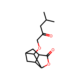 CC(C)CC(=O)COC1C2CC3C(=O)OC1C3C2